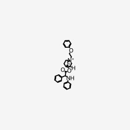 O=C(O[C@H]1C[N+]2(CCOc3ccccc3)CCC1CC2)C(Nc1ccccc1)c1ccccc1